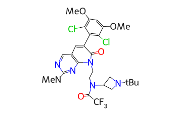 CNc1ncc2cc(-c3c(Cl)c(OC)cc(OC)c3Cl)c(=O)n(CCN(C(=O)C(F)(F)F)C3CN(C(C)(C)C)C3)c2n1